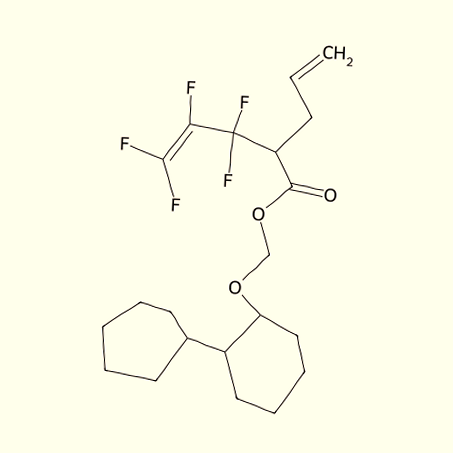 C=CCC(C(=O)OCOC1CCCCC1C1CCCCC1)C(F)(F)C(F)=C(F)F